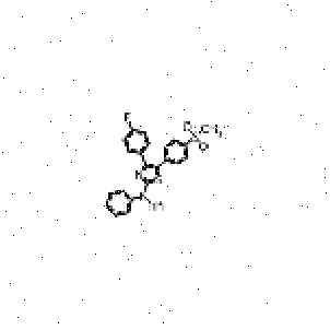 CCCN(c1ccccc1)c1nc(-c2ccc(F)cc2)c(-c2ccc(S(C)(=O)=O)cc2)s1